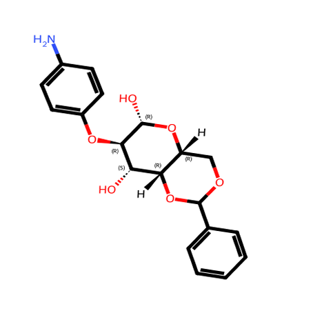 Nc1ccc(O[C@@H]2[C@@H](O)[C@H]3OC(c4ccccc4)OC[C@H]3O[C@H]2O)cc1